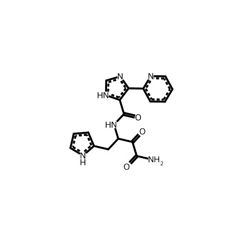 NC(=O)C(=O)C(Cc1ccc[nH]1)NC(=O)c1[nH]cnc1-c1ccccn1